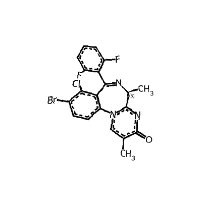 Cc1cn2c(nc1=O)[C@H](C)N=C(c1c(F)cccc1F)c1c-2ccc(Br)c1Cl